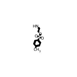 Cc1ccc(S(=O)(=O)OCC=N)cc1